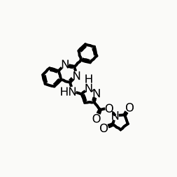 O=C(ON1C(=O)CCC1=O)c1cc(Nc2nc(-c3ccccc3)nc3ccccc23)[nH]n1